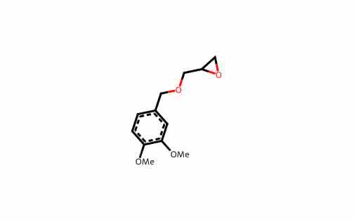 COc1ccc(COCC2CO2)cc1OC